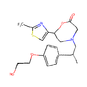 CC(CN1CC(=O)OC(c2csc(C(F)(F)F)n2)C1)c1ccc(OCCO)cc1